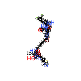 Cc1ncsc1-c1ccc(CNC(=O)[C@@H]2C[C@@H](O)CN2C(=O)C(NC(=O)CCCCCCCCCC(=O)N2CCN(c3ccc(C(=O)Nc4n[nH]c5ccc(Cc6cc(F)cc(F)c6)cc45)c(NC4CCOCC4)c3)CC2)C(C)(C)C)cc1